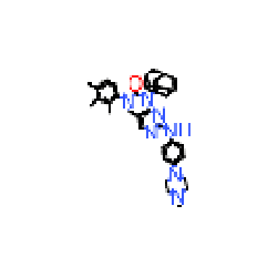 Cc1ccc(N2Cc3cnc(Nc4ccc(N5CCN(C)CC5)cc4)nc3N(C34CC5CC(CC(C5)C3)C4)C2=O)c(C)c1C